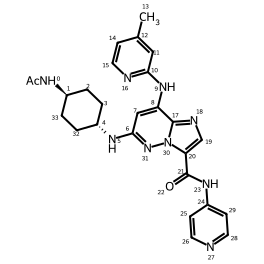 CC(=O)N[C@H]1CC[C@H](Nc2cc(Nc3cc(C)ccn3)c3ncc(C(=O)Nc4ccncc4)n3n2)CC1